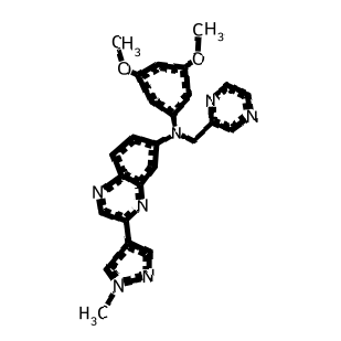 COc1cc(OC)cc(N(Cc2cnccn2)c2ccc3ncc(-c4cnn(C)c4)nc3c2)c1